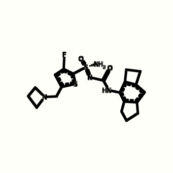 N[S@](=O)(=NC(=O)Nc1c2c(cc3c1CC3)CCC2)c1sc(CN2CCC2)cc1F